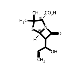 C=CC(O)C1C(=O)N2[C@@H]1SC(C)(C)[C@@H]2C(=O)O